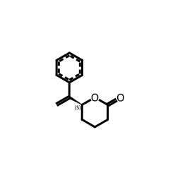 C=C(c1ccccc1)[C@@H]1CCCC(=O)O1